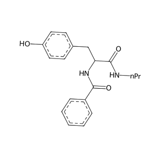 CCCNC(=O)C(Cc1ccc(O)cc1)NC(=O)c1ccccc1